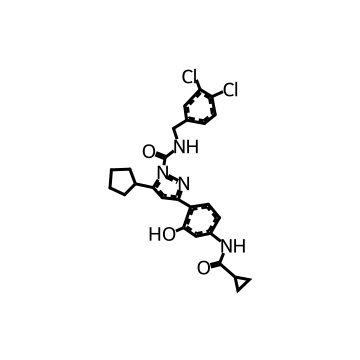 O=C(Nc1ccc(-c2cc(C3CCCC3)n(C(=O)NCc3ccc(Cl)c(Cl)c3)n2)c(O)c1)C1CC1